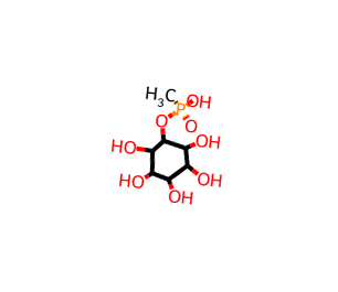 CP(=O)(O)OC1C(O)C(O)C(O)C(O)C1O